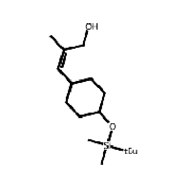 CC(=CC1CCC(O[Si](C)(C)C(C)(C)C)CC1)CO